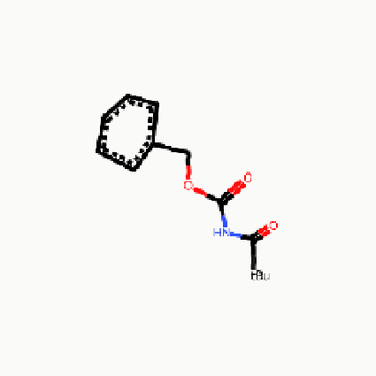 CC(C)(C)C(=O)NC(=O)OCc1ccccc1